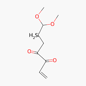 C=CC(=O)C(=O)C[SiH2]C(OC)OC